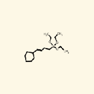 CCO[Si](CCC=CC1CCCCC1)(OCC)OCC